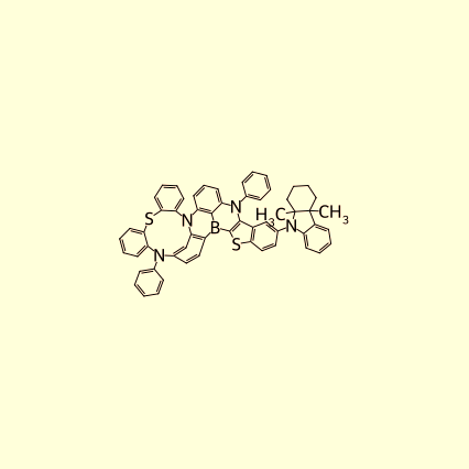 CC12CCCCC1(C)N(c1ccc3sc4c(c3c1)N(c1ccccc1)c1cccc3c1B4c1ccc4cc1N3c1ccccc1Sc1ccccc1N4c1ccccc1)c1ccccc12